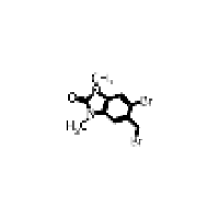 Cn1c(=O)n(C)c2cc(CBr)c(Br)cc21